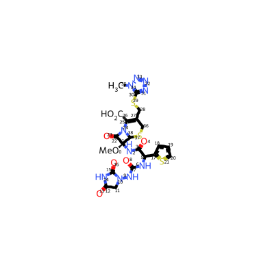 CO[C@@]1(NC(=O)C(NC(=O)NN2CC(=O)NC2=O)c2cccs2)C(=O)N2C(C(=O)O)=C(CSc3nnnn3C)CSC21